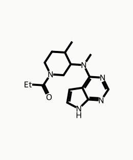 CCC(=O)N1CCC(C)C(N(C)c2ncnc3[nH]ccc23)C1